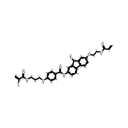 C=CC(=O)OCCOc1ccc2c(c1)C(F)c1cc(OC(=O)c3ccc(OCCCOC(=O)C(=C)F)cc3)ccc1-2